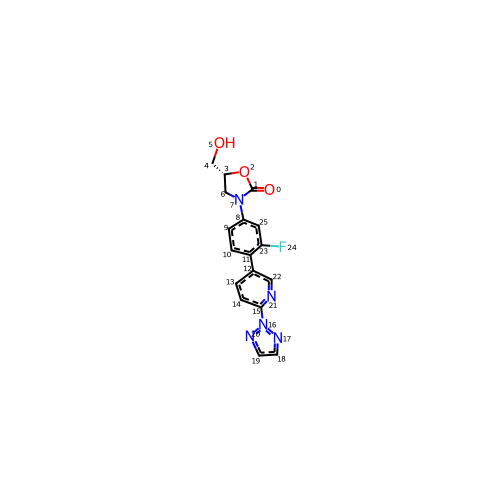 O=C1O[C@@H](CO)CN1c1ccc(-c2ccc(-n3nccn3)nc2)c(F)c1